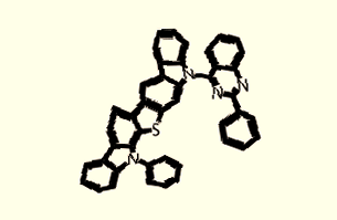 c1ccc(-c2nc(-n3c4ccccc4c4cc5c(cc43)sc3c5ccc4c5ccccc5n(-c5ccccc5)c43)c3ccccc3n2)cc1